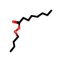 CCCCCCCC(=O)OOCCCC